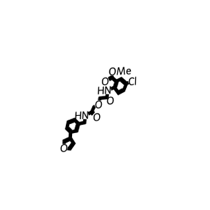 COC(=O)c1cc(Cl)ccc1NC(=O)COCC(=O)NCc1cccc(-c2ccoc2)c1